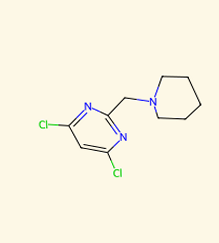 Clc1cc(Cl)nc(CN2CCCCC2)n1